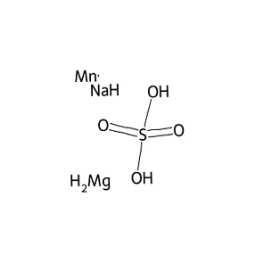 O=S(=O)(O)O.[MgH2].[Mn].[NaH]